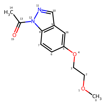 COCCOc1ccc2c(cnn2C(C)=O)c1